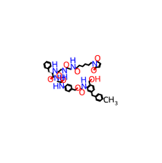 Cc1ccc(Cc2ccc(CO)c(NC(=O)OCc3ccc(NC(=O)CNC(=O)[C@H](Cc4ccccc4)NC(=O)CNC(=O)CNC(=O)CCCCCN4C(=O)C=CC4=O)cc3)c2)cc1